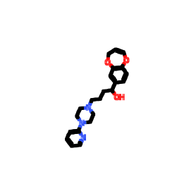 OC(CCCN1CCN(c2ccccn2)CC1)c1ccc2c(c1)OCC=CO2